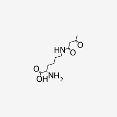 CC(=O)CC(=O)NCCCC[C@H](N)C(=O)O